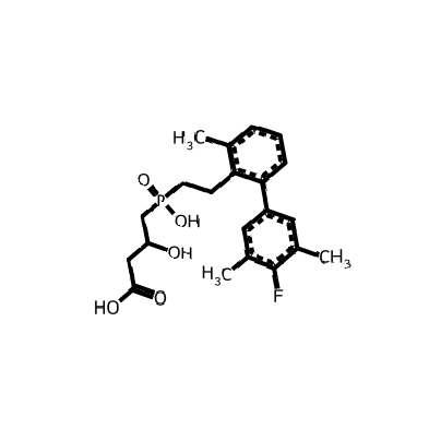 Cc1cc(-c2cccc(C)c2CCP(=O)(O)CC(O)CC(=O)O)cc(C)c1F